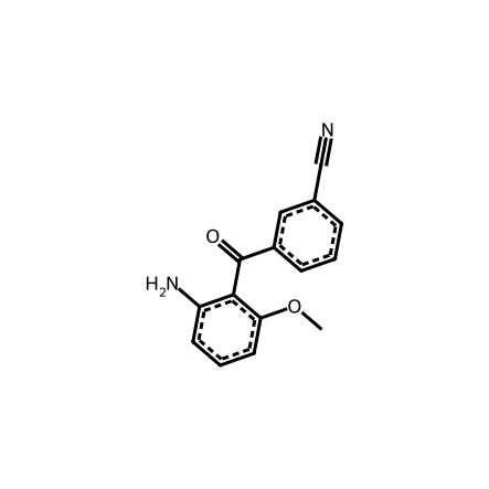 COc1cccc(N)c1C(=O)c1cccc(C#N)c1